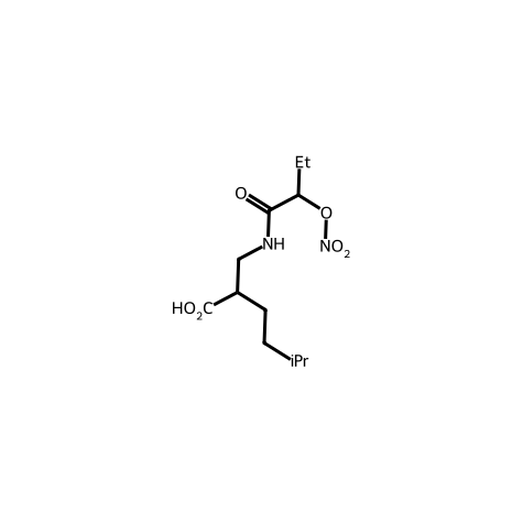 CCC(O[N+](=O)[O-])C(=O)NCC(CCC(C)C)C(=O)O